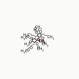 CCCCc1c(OCOC)c(OC)c(C(CCCC)c2c(OC)c(OCOC)c(CCOCOC)c(OC)c2OCOC)c(OCOC)c1OC